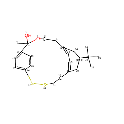 CC1(O)OCCC2=CC=C(CCSSc3ccc1cc3)C[C@H](C(C)(C)C)C2